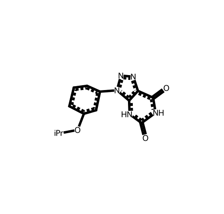 CC(C)Oc1cccc(-n2nnc3c(=O)[nH]c(=O)[nH]c32)c1